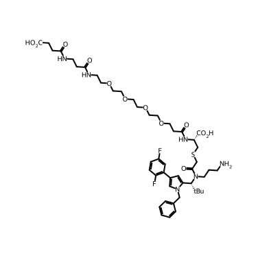 CC(C)(C)[C@H](c1cc(-c2cc(F)ccc2F)cn1Cc1ccccc1)N(CCCN)C(=O)CSC[C@H](NC(=O)CCOCCOCCOCCOCCNC(=O)CCNC(=O)CCC(=O)O)C(=O)O